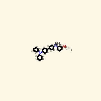 COc1cccc(N(C)c2ccc(-c3ccc(N(c4ccccc4)c4ccccc4)cc3)cc2)c1